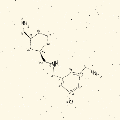 NCc1cc(Cl)cc(CNC[C@@H]2CCC[C@H](CN)C2)c1